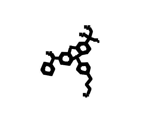 C=C(c1ccccc1)c1ccc2c(c1)Sc1cc(C(C)(C)CC)ccc1N2c1ccc(CCCC)cc1